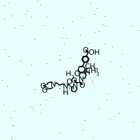 CC1(C)C(c2ccc(C(=O)O)cc2)=CC[C@]2(C)CN(C(=O)C(=O)N3CCC[C@H]3C(=O)NCCCN3CCS(=O)(=O)CC3)CC[C@@H]12